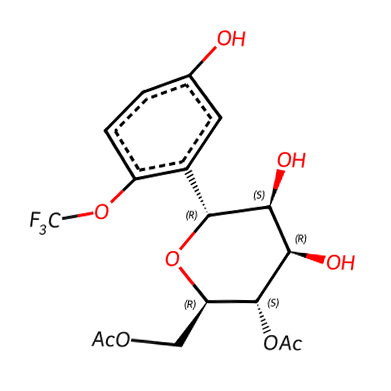 CC(=O)OC[C@H]1O[C@H](c2cc(O)ccc2OC(F)(F)F)[C@@H](O)[C@@H](O)[C@@H]1OC(C)=O